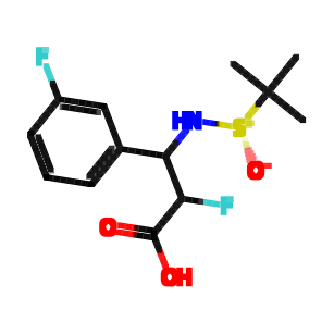 CC(C)(C)[S@+]([O-])NC(c1cccc(F)c1)C(F)C(=O)O